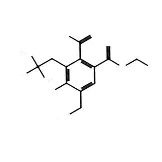 CCOC(=O)c1cc(CC)c(C)c(CC(C)(C)C)c1C(=O)O